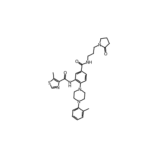 Cc1ccccc1N1CCN(c2ccc(C(=O)NCCCN3CCCC3=O)cc2NC(=O)c2ncsc2C)CC1